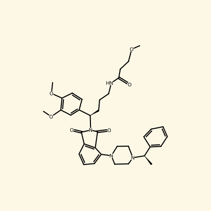 COCCC(=O)NCCC[C@H](c1ccc(OC)c(OC)c1)N1C(=O)c2cccc(N3CCN([C@H](C)c4ccccc4)CC3)c2C1=O